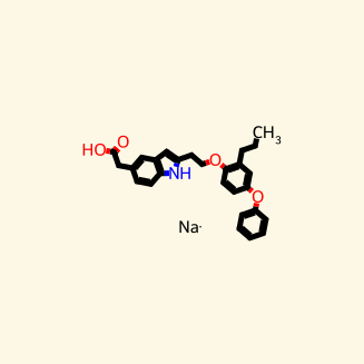 CCCc1cc(Oc2ccccc2)ccc1OCCc1cc2cc(CC(=O)O)ccc2[nH]1.[Na]